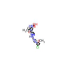 COc1ccc(Cl)cc1N1CCN(CCNc2nccc(C(=O)N3CCC(NC(=O)O)CC3C(C)(C)C)n2)CC1